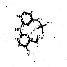 Cc1cnc(Nc2cc(OC(F)(F)F)ccn2)nc1C=O